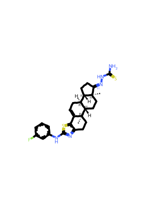 C[C@]12CCc3nc(Nc4cccc(F)c4)sc3C1=CC[C@@H]1[C@@H]2CC[C@]2(C)/C(=N/NC(N)=S)CC[C@@H]12